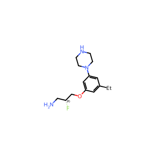 CCc1cc(OC[C@H](F)CN)cc(N2CCNCC2)c1